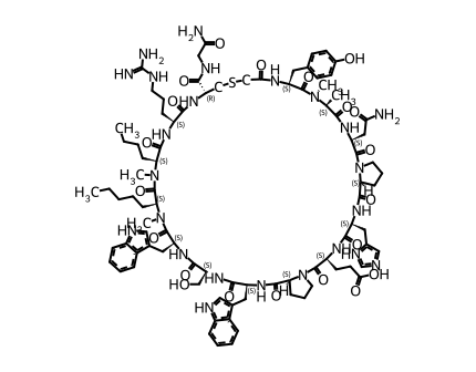 CCCCC[C@H]1C(=O)N(C)[C@@H](CCCC)C(=O)N[C@@H](CCCNC(=N)N)C(=O)N[C@H](C(=O)NCC(N)=O)CSCC(=O)N[C@@H](Cc2ccc(O)cc2)C(=O)N(C)[C@@H](C)C(=O)N[C@@H](CC(N)=O)C(=O)N2CCC[C@H]2C(=O)N[C@@H](Cc2cnc[nH]2)C(=O)N[C@@H](CCC(=O)O)C(=O)N2CCC[C@H]2C(=O)N[C@@H](Cc2c[nH]c3ccccc23)C(=O)N[C@@H](CO)C(=O)N[C@@H](Cc2c[nH]c3ccccc23)C(=O)N1C